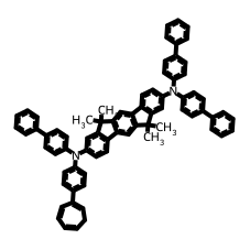 CC1(C)c2cc(N(c3ccc(C4=CCC=CC=C4)cc3)c3ccc(-c4ccccc4)cc3)ccc2-c2cc3c(cc21)-c1ccc(N(c2ccc(-c4ccccc4)cc2)c2ccc(-c4ccccc4)cc2)cc1C3(C)C